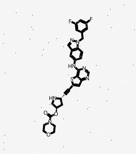 O=C(O[C@H]1CN[C@H](C#Cc2cc3ncnc(Nc4ccc5c(cnn5Cc5cc(F)cc(F)c5)c4)c3s2)C1)N1CCOCC1